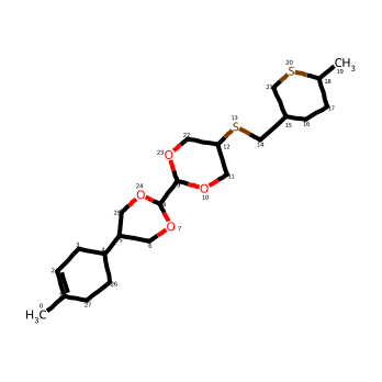 CC1=CCC(C2COC(C3OCC(SCC4CCC(C)SC4)CO3)OC2)CC1